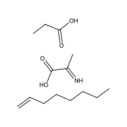 C=CCCCCCC.CC(=N)C(=O)O.CCC(=O)O